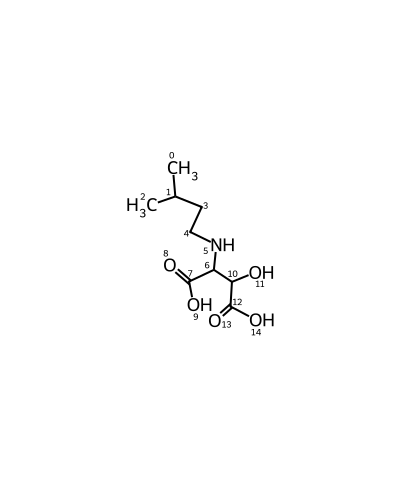 CC(C)CCNC(C(=O)O)C(O)C(=O)O